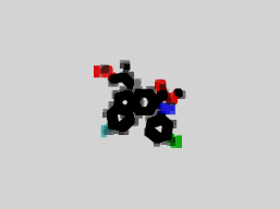 COC(=O)C1(Nc2cccc(Cl)c2)CCC2(CC1)c1ccc(F)cc1C[C@@H]2C[C@@H](C)CO